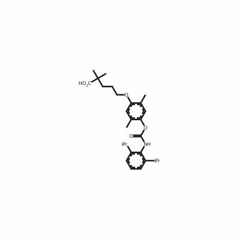 Cc1cc(OC(=O)Nc2c(C(C)C)cccc2C(C)C)c(C)cc1OCCCC(C)(C)C(=O)O